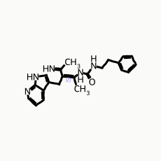 CC(=N)/C(Cc1c[nH]c2ncccc12)=C(/C)NC(=O)NCCc1ccccc1